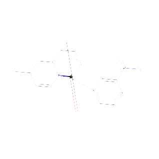 NC(=O)c1cccc(C2=C3C=CC=C4C=C(Cl)C=CC43C[N]C2=O)c1